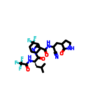 CC(C)C[C@H](NC(=O)C(F)(F)F)C(=O)N1C2CCC(C1C(=O)NC(C#N)CC1CCNC1=O)C(F)(F)C2